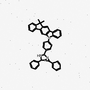 CC1(C)c2ccccc2-c2cc3c(cc21)c1ccccc1n3-c1ccc(C2NC(c3ccccc3)N3C(c4ccccc4)N23)cc1